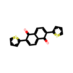 O=C1C2=CC=C(c3cccs3)C(=O)C2=CC=C1c1cccs1